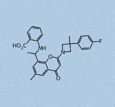 Cc1cc(C(C)Nc2ccccc2C(=O)O)c2oc(N3CC(C)(c4ccc(F)cc4)C3)cc(=O)c2c1